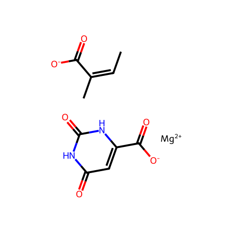 CC=C(C)C(=O)[O-].O=C([O-])c1cc(=O)[nH]c(=O)[nH]1.[Mg+2]